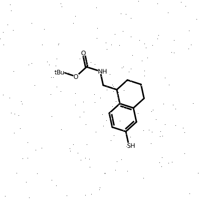 CC(C)(C)OC(=O)NCC1CCCc2cc(S)ccc21